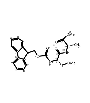 COC[C@H](NC(=O)OCC1c2ccccc2-c2ccccc21)C(=O)N[C@@H](C)C(=O)OC